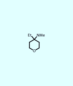 CCC1(NC)CCOCC1